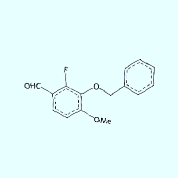 COc1ccc(C=O)c(F)c1OCc1ccccc1